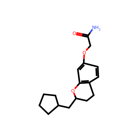 NC(=O)COc1ccc2c(c1)OC(CC1CCCC1)CC2